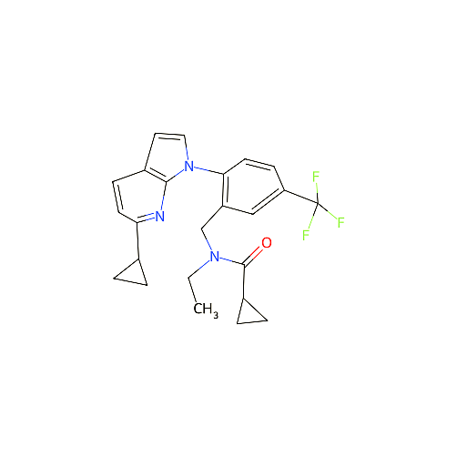 CCN(Cc1cc(C(F)(F)F)ccc1-n1ccc2ccc(C3CC3)nc21)C(=O)C1CC1